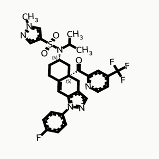 CC(C)N([C@H]1CCC2=Cc3c(cnn3-c3ccc(F)cc3)C[C@]2(C(=O)c2cc(C(F)(F)F)ccn2)C1)S(=O)(=O)c1cnn(C)c1